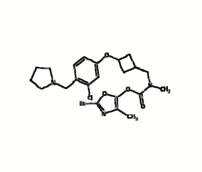 CCc1nc(C)c(OC(=O)N(C)CC2CC(Oc3ccc(CN4CCCC4)c(Cl)c3)C2)o1